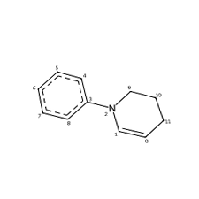 C1=CN(c2ccccc2)CCC1